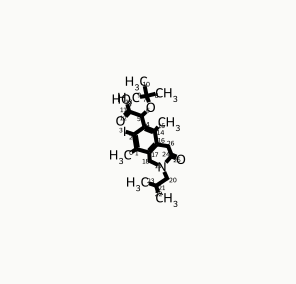 Cc1c(I)c(C(OC(C)(C)C)C(=O)O)c(C)c2c1CN(CC(C)C)C(=O)C2